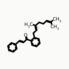 CC(C)=CCC/C(C)=C/Cc1ccccc1C(=O)C=Cc1ccccc1